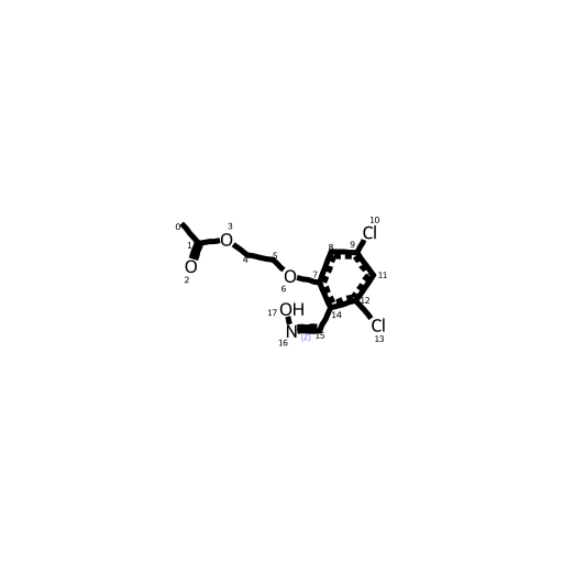 CC(=O)OCCOc1cc(Cl)cc(Cl)c1/C=N\O